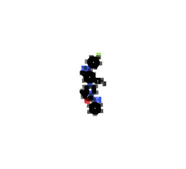 Cc1cc2c(cnn2-c2ccc(F)cc2)cc1N1CCN(C(=O)Nc2ccccc2)C2(CC2)C1